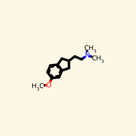 COc1ccc2c(c1)CC(CCN(C)C)C2